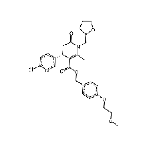 COCCOc1ccc(COC(=O)C2=C(C)N(C[C@H]3CCCO3)C(=O)C[C@H]2c2ccc(Cl)nc2)cc1